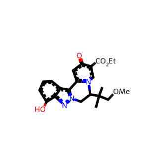 CCOC(=O)c1cn2c(cc1=O)-c1c3cccc(O)c3nn1CC2C(C)(C)COC